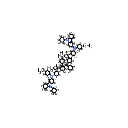 Cc1ccc(N(c2ccc3c(c2)C(C)(C)c2cc([Si](c4ccccc4)(c4ccccc4)c4ccc5c(c4)C(C)(C)c4cc(N(c6ccc(C)cc6)c6ccc7c(c6)c6ccccc6n7-c6ccccc6)ccc4-5)ccc2-3)c2ccc3c(c2)c2ccccc2n3-c2ccccc2)cc1